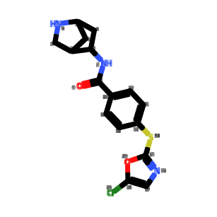 O=C(NC1CC2CC1CN2)c1ccc(Sc2ncc(Cl)o2)cc1